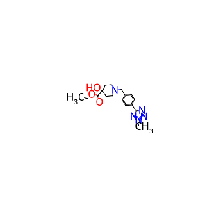 CCOC(=O)C1(O)CCN(Cc2ccc(-c3nnn(C)n3)cc2)CC1